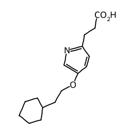 O=C(O)CCc1ccc(OCCC2CCCCC2)cn1